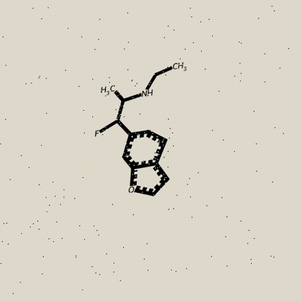 CCNC(C)C(F)c1ccc2ccoc2c1